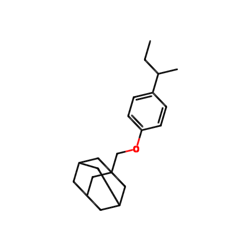 CCC(C)c1ccc(OCC23CC4CC(CC(C4)C2)C3)cc1